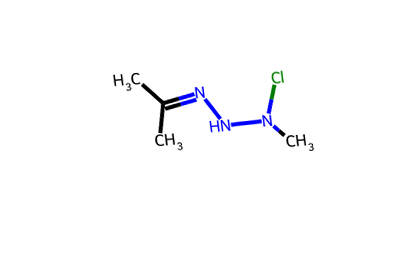 CC(C)=NNN(C)Cl